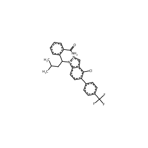 CC(C)CC(c1ccccc1C(N)=O)n1ncc2c(Cl)c(-c3ccc(C(F)(F)F)cc3)ccc21